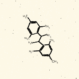 Cc1cc(C)c(C(N)C(N)c2c(C)cc(C)cc2C)c(C)c1